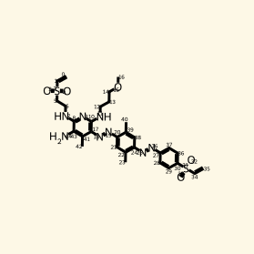 C=CS(=O)(=O)CCNc1nc(NCCCOC)c(/N=N/c2cc(C)c(/N=N/c3ccc(S(=O)(=O)C=C)cc3)cc2C)c(C)c1N